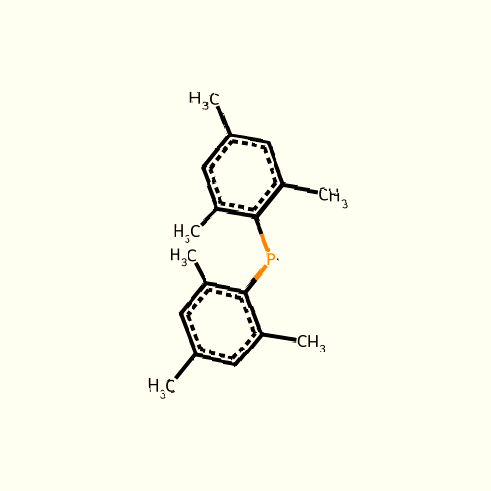 Cc1cc(C)c([P]c2c(C)cc(C)cc2C)c(C)c1